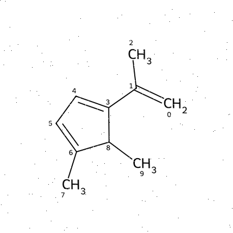 C=C(C)C1=CC=C(C)C1C